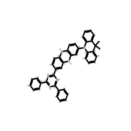 CC1(C)c2ccccc2N(c2ccc3c(c2)Oc2cc(-c4nc(-c5ccccc5)nc(-c5ccccc5)n4)ccc2O3)c2ccccc21